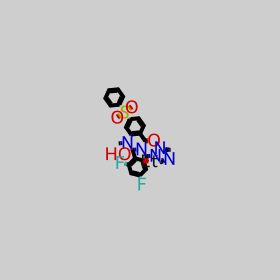 CCC(N1C(=O)c2ccc(S(=O)(=O)c3ccccc3)cc2N(C)C1(O)c1ccc(F)cc1F)n1cncn1